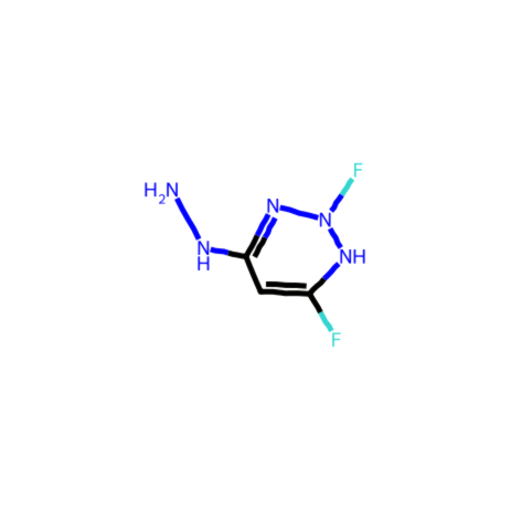 NNC1=NN(F)NC(F)=C1